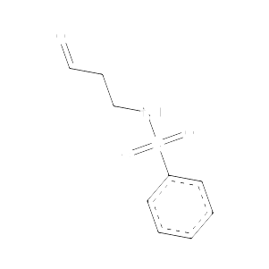 O=CCCNS(=O)(=O)c1ccccc1